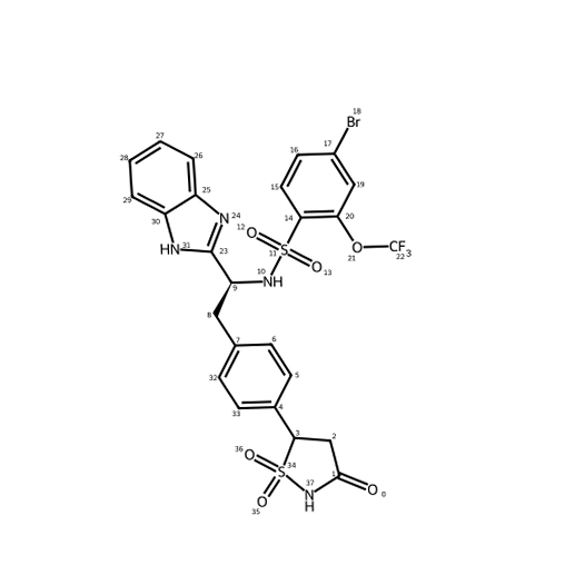 O=C1CC(c2ccc(C[C@H](NS(=O)(=O)c3ccc(Br)cc3OC(F)(F)F)c3nc4ccccc4[nH]3)cc2)S(=O)(=O)N1